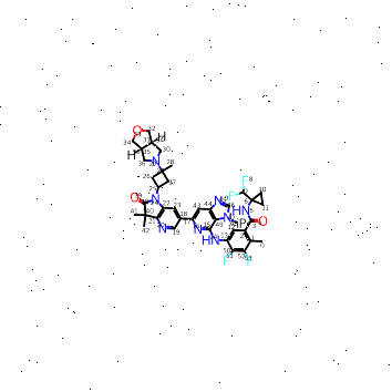 Cc1c(C(=O)NC2(C(F)F)CC2)cc(Nc2nc(-c3cnc4c(c3)N(C3CC(C)(N5C[C@H]6COC[C@H]6C5)C3)C(=O)C4(C)C)cc3ncn(C(C)C)c23)c(F)c1F